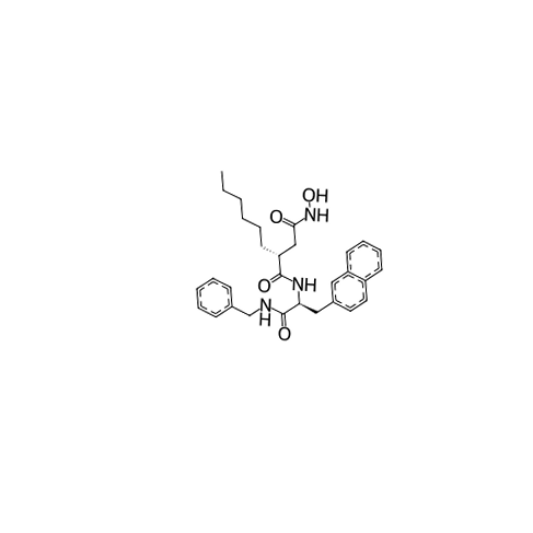 CCCCCC[C@H](CC(=O)NO)C(=O)N[C@@H](Cc1ccc2ccccc2c1)C(=O)NCc1ccccc1